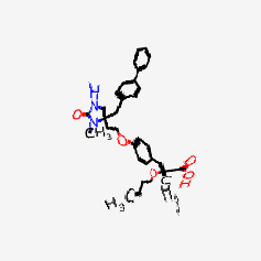 CCCCOC(C)(Cc1ccc(OCCC2(Cc3ccc(-c4ccccc4)cc3)CNC(=O)N2C)cc1)C(=O)O